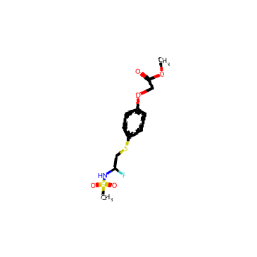 COC(=O)COc1ccc(SCC(F)NS(C)(=O)=O)cc1